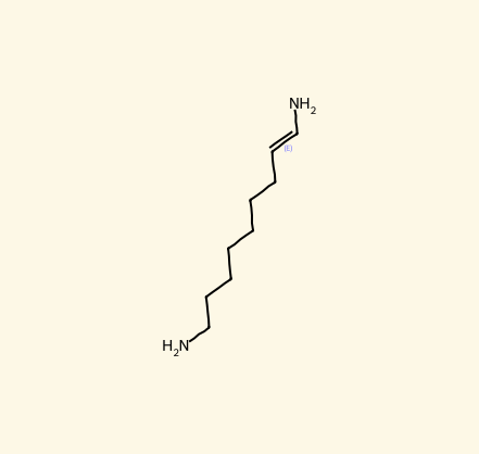 N/C=C/CCCCCCCN